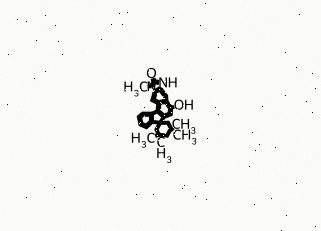 Cn1c(=O)[nH]c2cc3c(O)cc4c(c3cc21)-c1ccccc1C41CC(C)(C)CC(C)(C)C1